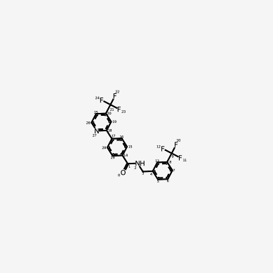 O=C(NCc1cccc(C(F)(F)F)c1)c1ccc(-c2cc(C(F)(F)F)ccn2)cc1